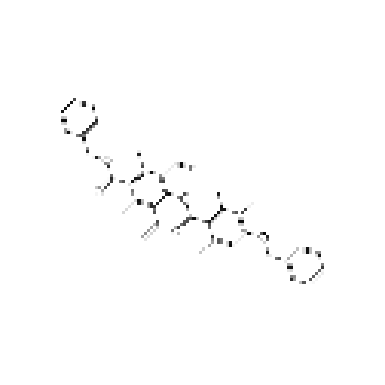 C=Cc1c(C)c(C(=O)OCc2ccccc2)c(C)c(C=C)c1OC(=O)c1c(C)cc(OCc2ccccc2)c(C)c1C